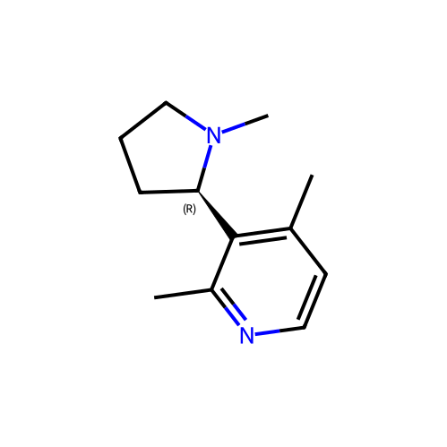 Cc1ccnc(C)c1[C@H]1CCCN1C